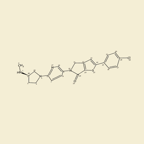 CN[C@@H]1CCN(c2ccc(N3Cc4cc(-c5ccc(Cl)cc5)sc4C3=O)cn2)C1